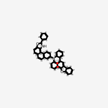 c1ccc(C2Nc3c(ccc4ccc5cc(N(c6ccccc6)c6ccccc6-c6ccc7oc8ccccc8c7c6)ccc5c34)O2)cc1